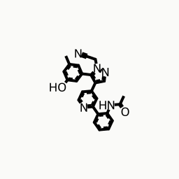 CC(=O)Nc1ccccc1-c1cc(-c2cnn(CC#N)c2-c2cc(C)cc(O)c2)ccn1